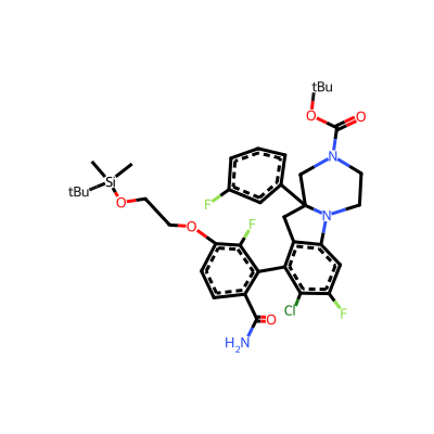 CC(C)(C)OC(=O)N1CCN2c3cc(F)c(Cl)c(-c4c(C(N)=O)ccc(OCCO[Si](C)(C)C(C)(C)C)c4F)c3CC2(c2cccc(F)c2)C1